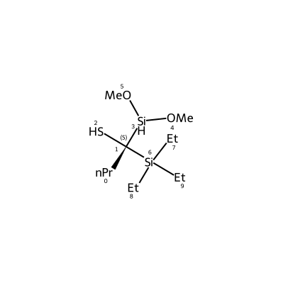 CCC[C@@](S)([SiH](OC)OC)[Si](CC)(CC)CC